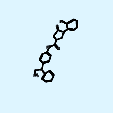 CC(C)c1ccccc1N1CC(C(=O)Nc2ccc(N(CN)c3ccccc3)cc2)CC1=O